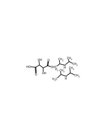 CC(C)NC(C)C.CC(C)NC(C)C.O=C(O)C(O)C(O)C(=O)O